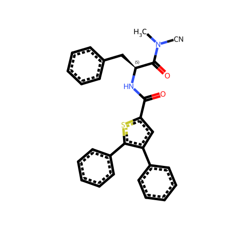 CN(C#N)C(=O)[C@H](Cc1ccccc1)NC(=O)c1cc(-c2ccccc2)c(-c2ccccc2)s1